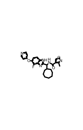 Cc1nocc1C(=O)NC(c1nc2c(F)c(Oc3ccncc3)ccc2[nH]1)C1CCCCCCC1